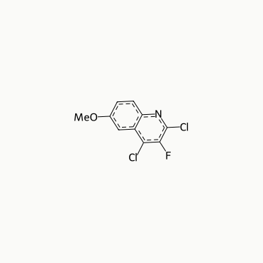 COc1ccc2nc(Cl)c(F)c(Cl)c2c1